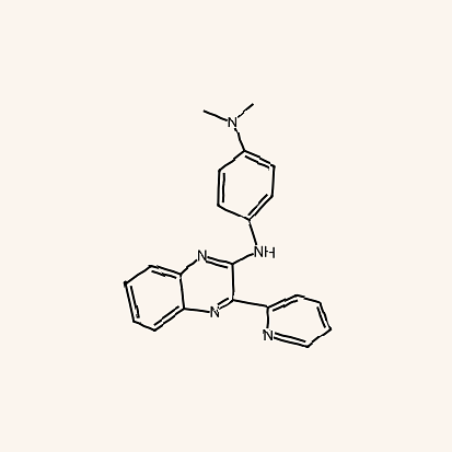 CN(C)c1ccc(Nc2nc3ccccc3nc2-c2ccccn2)cc1